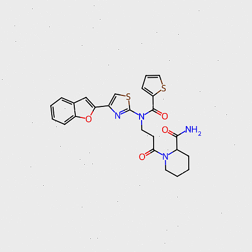 NC(=O)C1CCCCN1C(=O)CCN(C(=O)c1cccs1)c1nc(-c2cc3ccccc3o2)cs1